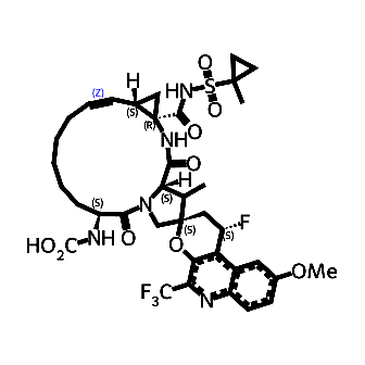 COc1ccc2nc(C(F)(F)F)c3c(c2c1)[C@@H](F)C[C@]1(CN2C(=O)[C@@H](NC(=O)O)CCCCC/C=C\[C@@H]4C[C@@]4(C(=O)NS(=O)(=O)C4(C)CC4)NC(=O)[C@@H]2C1C)O3